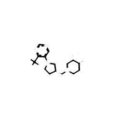 O[C@H]1[C@H](O)CN(C[C@H]2CCN(c3cncnc3C(F)(F)F)C2)C[C@@H]1O